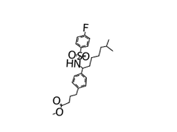 COC(=O)CCCc1ccc(C(CCCCC(C)C)NS(=O)(=O)c2ccc(F)cc2)cc1